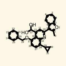 Cc1oc2ccccc2c1-c1cc(C(O)O)c2c(OCc3ccccc3)ccc(C3CC3)c2n1